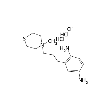 C[N+]1(CCCc2cc(N)ccc2N)CCSCC1.Cl.Cl.[Cl-]